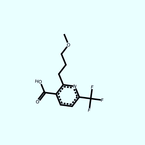 COCCCc1nc(C(F)(F)F)ccc1C(=O)O